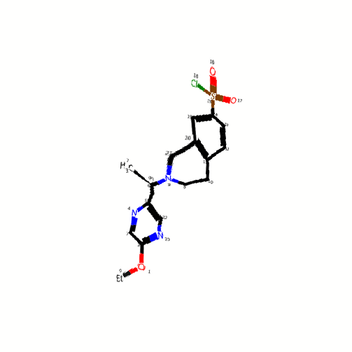 CCOc1cnc([C@@H](C)N2CCc3ccc(S(=O)(=O)Cl)cc3C2)cn1